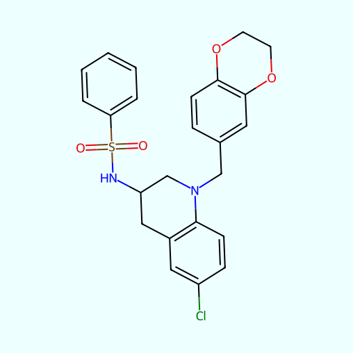 O=S(=O)(NC1Cc2cc(Cl)ccc2N(Cc2ccc3c(c2)OCCO3)C1)c1ccccc1